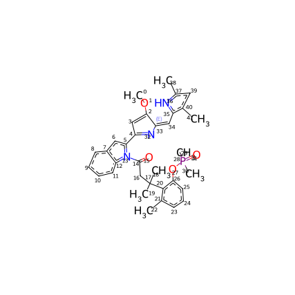 COC1=CC(c2cc3ccccc3n2C(=O)CC(C)(C)c2c(C)cccc2OP(C)(C)=O)=N/C1=C/c1[nH]c(C)cc1C